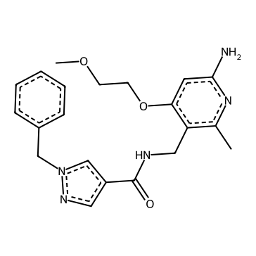 COCCOc1cc(N)nc(C)c1CNC(=O)c1cnn(Cc2ccccc2)c1